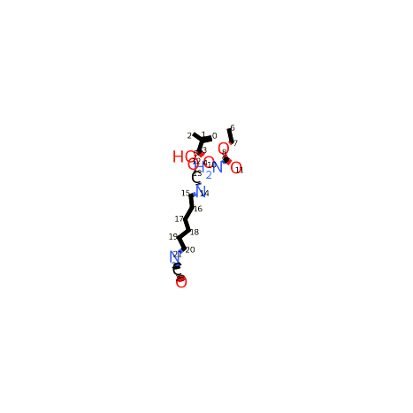 C=C(C)C(=O)O.CCOC(N)=O.O=C=NCCCCCCN=C=O